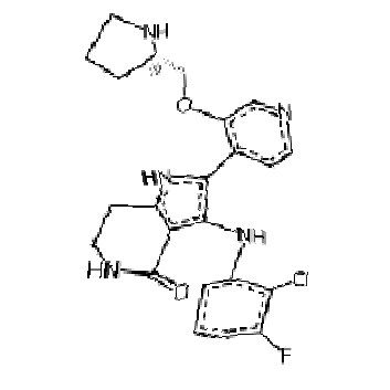 O=C1NCCc2[nH]c(-c3ccncc3OC[C@@H]3CCCN3)c(Nc3cccc(F)c3Cl)c21